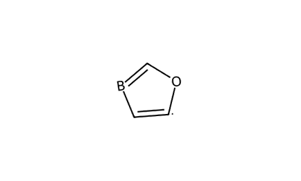 b1c[c]oc1